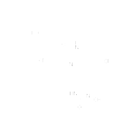 Cc1ccc(CC2N=C(c3ccc4c(c3)[nH]c(=O)n4C)c3cc(Cl)ccc3NC2=O)c(Cl)c1